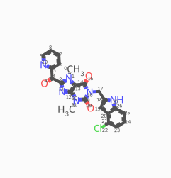 Cn1c(C(=O)c2ccccn2)nc2c1c(=O)n(Cc1cc3c(Cl)cccc3[nH]1)c(=O)n2C